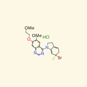 COCCOc1cc2ncnc(N3CCC4=CCC(F)(Br)C=C43)c2cc1OC.Cl